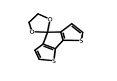 c1cc2c(s1)-c1sccc1C21OCCO1